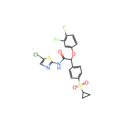 O=C(Nc1n[c]c(Cl)s1)C(Oc1ccc(F)c(F)c1)c1ccc(S(=O)(=O)C2CC2)cc1